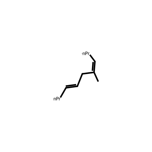 CC[CH]C=C(C)CC=CCCC